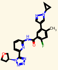 Cc1cc(F)c(C(=O)Nc2cccc(-c3nnnn3[C@H]3CCOC3)n2)cc1-c1cnn(C2CC2)c1